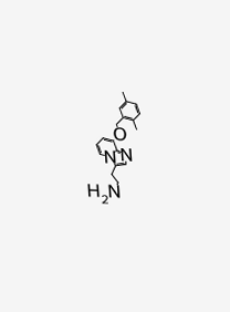 Cc1ccc(C)c(COc2cccn3c(CCN)cnc23)c1